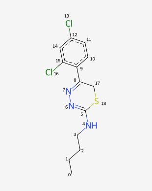 CCCCNC1=NN=C(c2ccc(Cl)cc2Cl)CS1